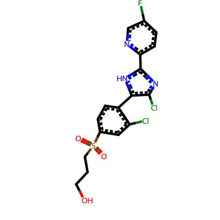 O=S(=O)(CCCO)c1ccc(-c2[nH]c(-c3ccc(F)cn3)nc2Cl)c(Cl)c1